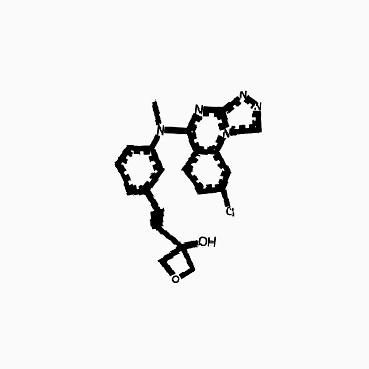 CN(c1cccc(C#CC2(O)COC2)c1)c1nc2nncn2c2cc(Cl)ccc12